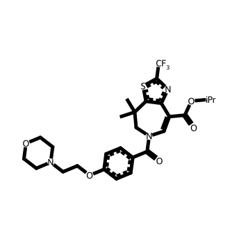 CC(C)OC(=O)C1=CN(C(=O)c2ccc(OCCN3CCOCC3)cc2)CC(C)(C)c2sc(C(F)(F)F)nc21